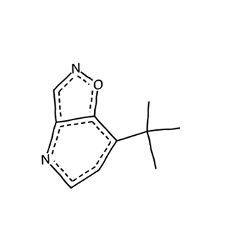 CC(C)(C)c1ccnc2cnoc12